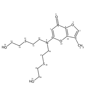 Cc1coc2c(=O)cc(N(CCSCCO)CCSCCO)oc12